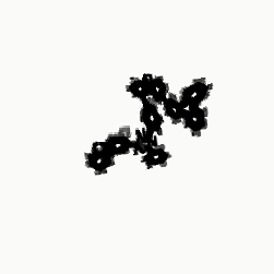 c1ccc(-c2nc(-c3cccc(-c4cccc5oc6ccc(-c7ccc8c9ccccc9c9ccccc9c8c7)cc6c45)c3)nc(-c3ccc4oc5ccccc5c4c3)n2)cc1